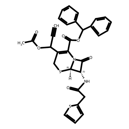 C#CC(OC(C)=O)C1=C(C(=O)OC(c2ccccc2)c2ccccc2)N2C(=O)[C@H](NC(=O)Cc3cccs3)[C@H]2SC1